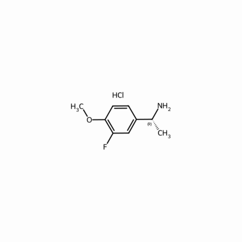 COc1ccc([C@@H](C)N)cc1F.Cl